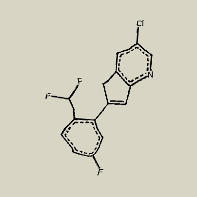 Fc1ccc(C(F)F)c(C2=Cc3ncc(Cl)cc3C2)c1